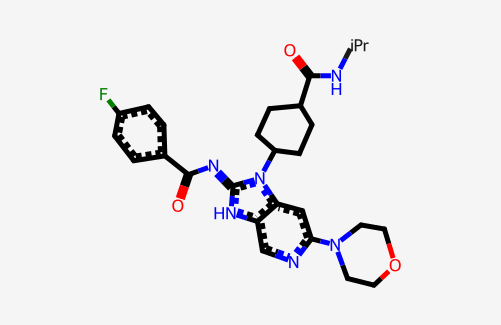 CC(C)NC(=O)C1CCC(n2/c(=N/C(=O)c3ccc(F)cc3)[nH]c3cnc(N4CCOCC4)cc32)CC1